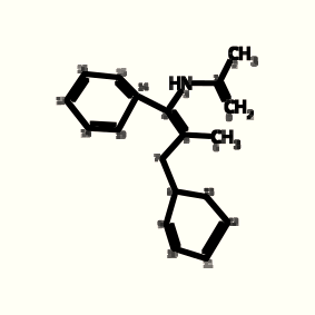 C=C(C)N/C(=C(\C)CC1C=CC=CC1)c1ccccc1